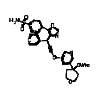 COC1(c2cncc(OC#CC(c3ccccc3)c3ncoc3-c3ccc(S(N)(=O)=O)cc3)c2)CCOCC1